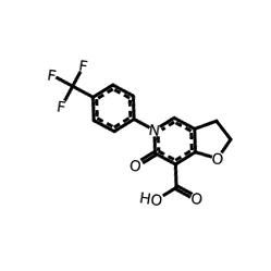 O=C(O)c1c2c(cn(-c3ccc(C(F)(F)F)cc3)c1=O)CCO2